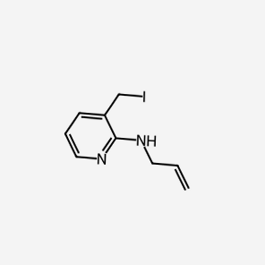 C=CCNc1ncccc1CI